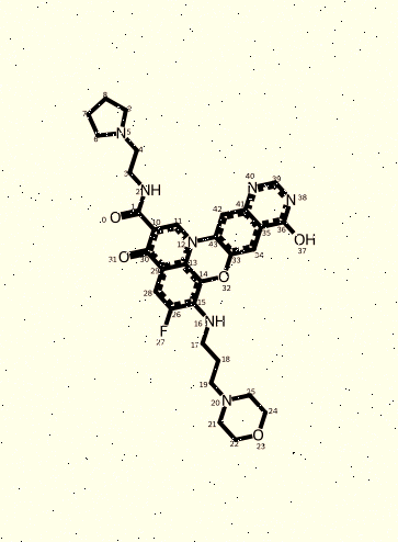 O=C(NCCN1CCCC1)c1cn2c3c(c(NCCCN4CCOCC4)c(F)cc3c1=O)Oc1cc3c(O)ncnc3cc1-2